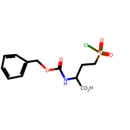 O=C(NC(CCS(=O)(=O)Cl)C(=O)O)OCc1ccccc1